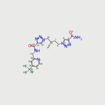 NC(=O)c1cn(CCC(F)Cn2cc(C(=O)NCc3cc(C(F)(F)F)ccn3)nn2)nn1